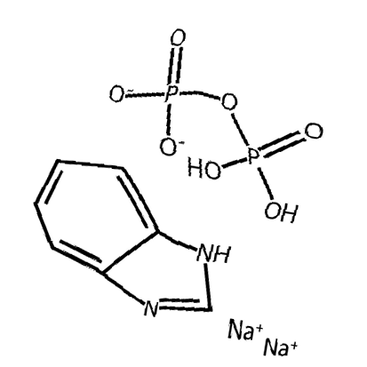 O=P([O-])([O-])OP(=O)(O)O.[Na+].[Na+].c1ccc2[nH]cnc2c1